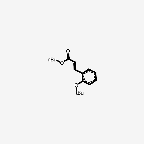 CCCCOC(=O)C=Cc1ccccc1OC(C)(C)C